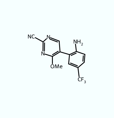 COc1nc(C#N)ncc1-c1cc(C(F)(F)F)ccc1N